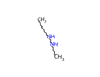 CCCC/C=C/CCCCNCCCNCCCCCC